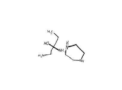 C1CNCCN1.CCC(N)(O)CN